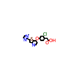 Cn1ccnc1-c1cc2nccc(Oc3ccc(CC(=O)O)c(Cl)c3)c2s1